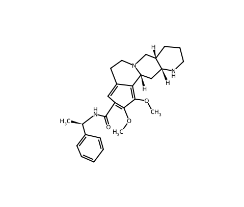 COc1c(C(=O)N[C@H](C)c2ccccc2)cc2c(c1OC)[C@H]1C[C@H]3NCCC[C@H]3CN1CC2